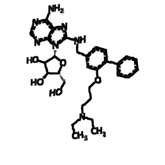 CCN(CC)CCCOc1cc(CNc2nc3c(N)ncnc3n2[C@@H]2O[C@H](CO)C(O)C2O)ccc1-c1ccccc1